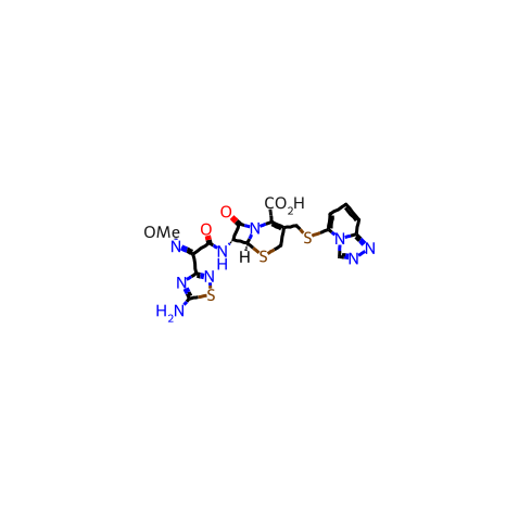 CO/N=C(\C(=O)N[C@@H]1C(=O)N2C(C(=O)O)=C(CSc3cccc4nncn34)CS[C@@H]12)c1nsc(N)n1